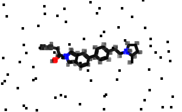 COCC(=O)n1cc2ccc(-c3ccc(CCN4CCCC4C)cc3)cc2c1